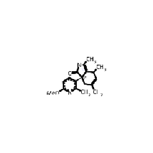 C/C=C1\C(C)C=C(C)C[C@@]1(C(N)=O)c1ccc(OC)nc1C